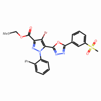 CSCOC(=O)c1nn(-c2ccccc2C(C)C)c(-c2nnc(-c3cccc(S(C)(=O)=O)c3)o2)c1Br